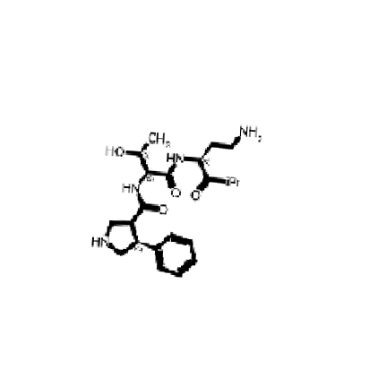 CC(C)C(=O)[C@H](CCN)NC(=O)[C@@H](NC(=O)C1CNC[C@@H]1c1ccccc1)[C@H](C)O